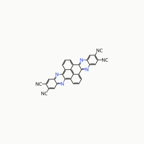 [C-]#[N+]c1cc2nc3c4cccc5c6nc7cc(C#N)c(C#N)cc7nc6c6cccc(c3nc2cc1[N+]#[C-])c6c54